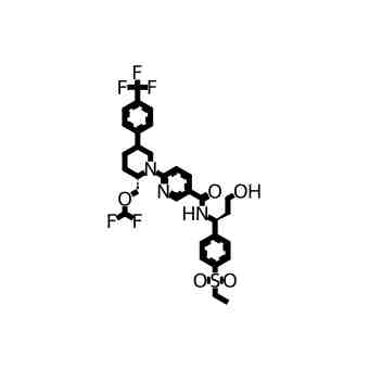 CCS(=O)(=O)c1ccc([C@H](CCO)NC(=O)c2ccc(N3CC(c4ccc(C(F)(F)F)cc4)CC[C@H]3COC(F)F)nc2)cc1